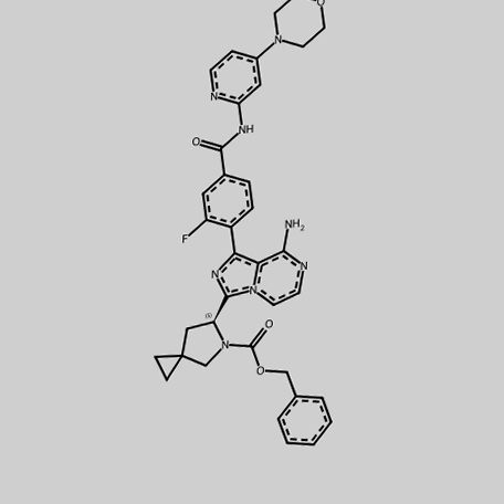 Nc1nccn2c([C@@H]3CC4(CC4)CN3C(=O)OCc3ccccc3)nc(-c3ccc(C(=O)Nc4cc(N5CCOCC5)ccn4)cc3F)c12